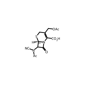 CC(=O)OCC1=C(C(=O)O)N2C(=O)C(N(C#N)C(C)=O)[C@@H]2SC1